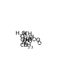 CCN(CC)C(=O)n1nc(S(=O)(=O)c2ccc(Oc3ccccc3)cc2)cc1C(=O)N(C)C